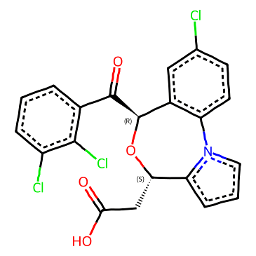 O=C(O)C[C@@H]1O[C@@H](C(=O)c2cccc(Cl)c2Cl)c2cc(Cl)ccc2-n2cccc21